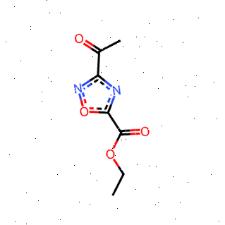 CCOC(=O)c1nc(C(C)=O)no1